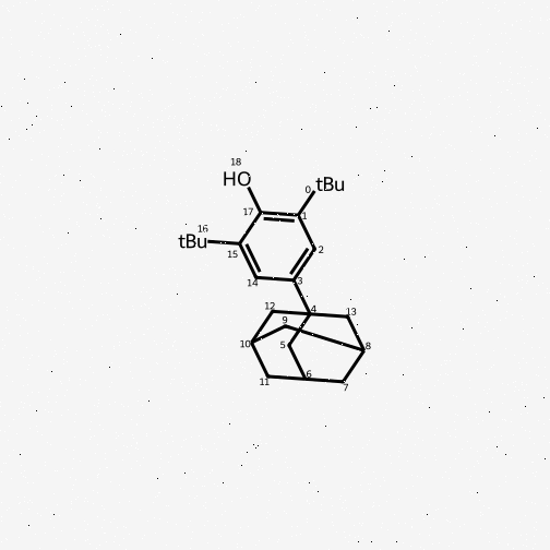 CC(C)(C)c1cc(C23CC4CC(CC(C4)C2)C3)cc(C(C)(C)C)c1O